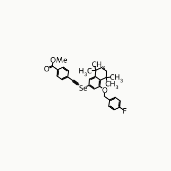 COC(=O)c1ccc(C#C[Se]c2cc(OCc3ccc(F)cc3)c3c(c2)C(C)(C)CCC3(C)C)cc1